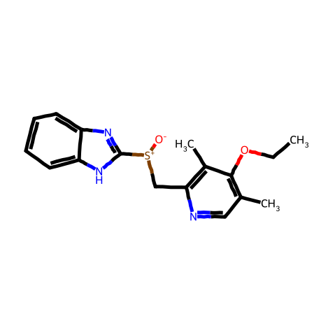 CCOc1c(C)cnc(C[S+]([O-])c2nc3ccccc3[nH]2)c1C